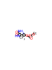 CCOCC1COCC(COc2ccc(-c3cc(C(N)=O)c(=O)[nH]c3C(F)(F)F)cc2)O1